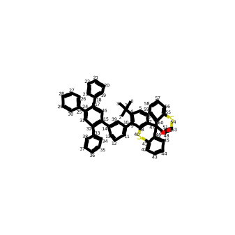 CC(C)(C)c1ccc2c(c1-c1cccc(-c3cc(-c4ccccc4)c(-c4ccccc4)cc3-c3ccccc3)c1)Sc1ccccc1C21c2ccccc2Sc2ccccc21